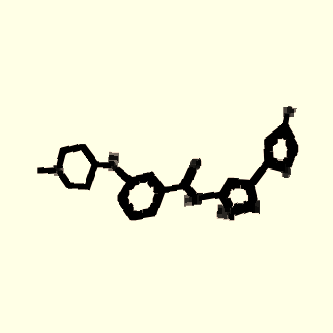 CN1CCC(Nc2cccc(C(=O)Nc3cc(-c4cc(Br)cs4)n[nH]3)c2)CC1